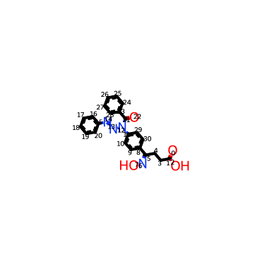 O=C(O)CC/C(=N/O)c1ccc(N(/N=N/c2ccccc2)C(=O)c2ccccc2)cc1